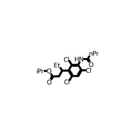 CCCC(=O)Nc1c(Cl)cc(Cl)c(C(CC)CC(=O)OC(C)C)c1Cl